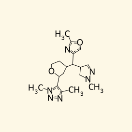 Cc1nc(C(C2C=NN(C)C2)C2CCOC(c3c(C)nnn3C)C2)co1